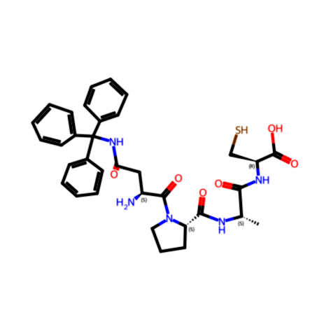 C[C@H](NC(=O)[C@@H]1CCCN1C(=O)[C@@H](N)CC(=O)NC(c1ccccc1)(c1ccccc1)c1ccccc1)C(=O)N[C@@H](CS)C(=O)O